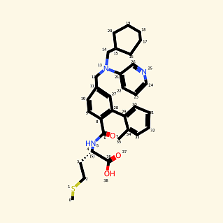 CSCC[C@H](NC(=O)c1ccc(CN(CC2CCCCC2)c2cccnc2)cc1-c1ccccc1C)C(=O)O